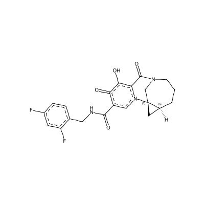 O=C(NCc1ccc(F)cc1F)c1cn2c(c(O)c1=O)C(=O)N1CCC[C@H]3C[C@@]32C1